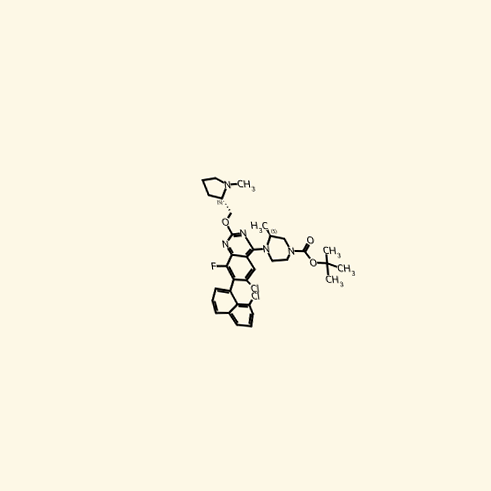 C[C@H]1CN(C(=O)OC(C)(C)C)CCN1c1nc(OC[C@@H]2CCCN2C)nc2c(F)c(-c3cccc4cccc(Cl)c34)c(Cl)cc12